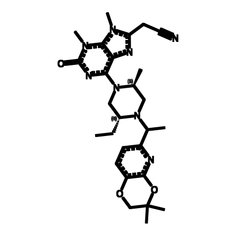 CC[C@@H]1CN(c2nc(=O)n(C)c3c2nc(CC#N)n3C)[C@@H](C)CN1C(C)c1ccc2c(n1)OC(C)(C)CO2